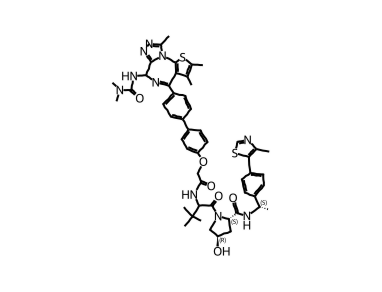 Cc1ncsc1-c1ccc([C@H](C)NC(=O)[C@@H]2C[C@@H](O)CN2C(=O)C(NC(=O)COc2ccc(-c3ccc(C4=NC(NC(=O)N(C)C)c5nnc(C)n5-c5sc(C)c(C)c54)cc3)cc2)C(C)(C)C)cc1